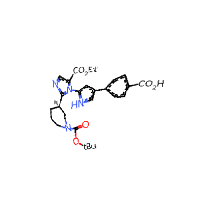 CCOC(=O)c1cnc([C@@H]2CCCN(C(=O)OC(C)(C)C)C2)n1-c1cc(-c2ccc(C(=O)O)cc2)c[nH]1